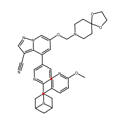 COc1ccc(CN2C3CC2CN(c2ccc(-c4cc(OCN5CCC6(CC5)OCCO6)cn5ncc(C#N)c45)cn2)C3)cn1